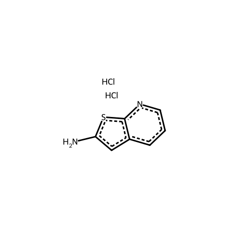 Cl.Cl.Nc1cc2cccnc2s1